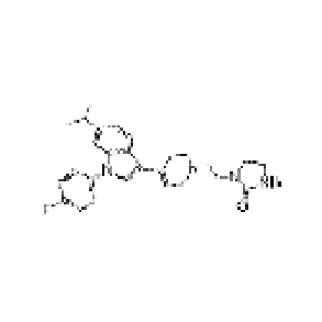 CC(C)c1ccc2c(C3=CCN(CCN4CCNC4=O)CC3)cn(-c3ccc(F)cc3)c2c1